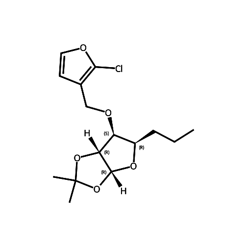 CCC[C@H]1O[C@@H]2OC(C)(C)O[C@@H]2[C@H]1OCc1ccoc1Cl